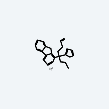 C=CCCC(CCC)(C1=CC=CC1)c1cccc2c1Cc1ccccc1-2.[Hf]